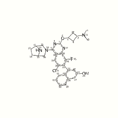 CN(C)C1CC(Oc2nc(N3CC4CCC(C3)N4)c3cc(Cl)c(-c4cc(O)cc5ccccc45)c(F)c3n2)C1